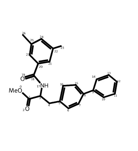 COC(=O)C(Cc1ccc(-c2ccccc2)cc1)NC(=O)c1cc(C)cc(C)c1